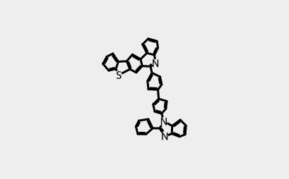 c1ccc(-c2nc3ccccc3n2-c2ccc(-c3ccc(-c4nc5ccccc5c5cc6c(cc45)sc4ccccc46)cc3)cc2)cc1